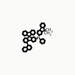 CC1(C)c2ccccc2-c2ccc(N(c3ccccc3)c3ccc4c(c3)C3(c5ccccc5-c5ccccc53)c3cccc(-c5cccc6ccccc56)c3-4)cc21